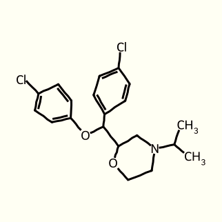 CC(C)N1CCOC(C(Oc2ccc(Cl)cc2)c2ccc(Cl)cc2)C1